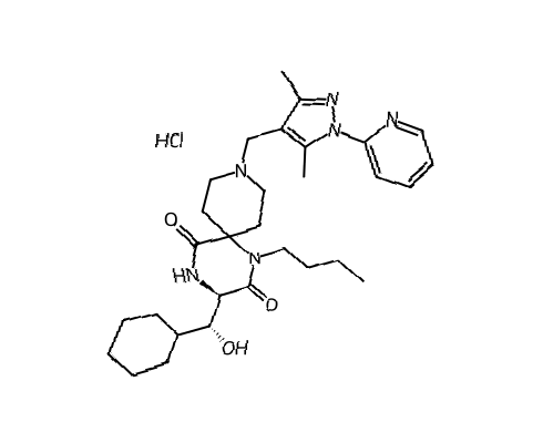 CCCCN1C(=O)[C@@H]([C@H](O)C2CCCCC2)NC(=O)C12CCN(Cc1c(C)nn(-c3ccccn3)c1C)CC2.Cl